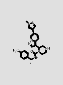 C[C@@H](NC(=O)N1CCNCC1c1cnn2cc(-c3cnn(C)c3)ccc12)c1ccc(C(F)(F)F)cc1